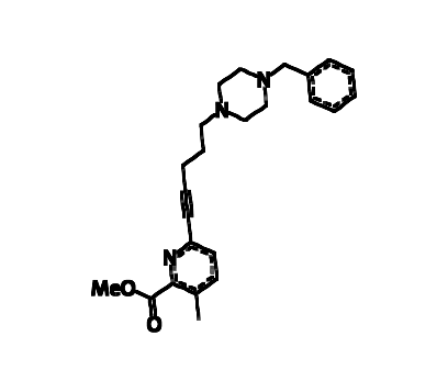 COC(=O)c1nc(C#CCCCN2CCN(Cc3ccccc3)CC2)ccc1C